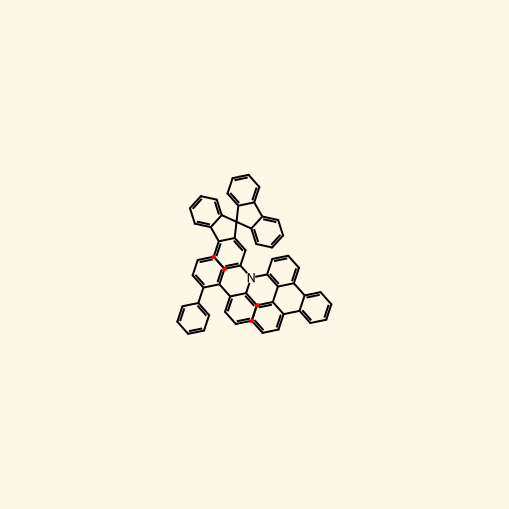 c1ccc(-c2ccccc2-c2ccccc2N(c2ccc3c(c2)C2(c4ccccc4-c4ccccc42)c2ccccc2-3)c2cccc3c4ccccc4c4ccccc4c23)cc1